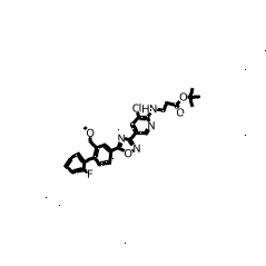 COCc1cc(-c2nc(-c3cnc(NCCC(=O)OC(C)(C)C)c(Cl)c3)no2)ccc1-c1ccccc1F